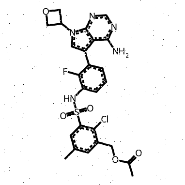 CC(=O)OCc1cc(C)cc(S(=O)(=O)Nc2cccc(-c3cn(C4COC4)c4ncnc(N)c34)c2F)c1Cl